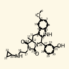 COc1ccc2[nH]c3c(c2c1)CC1(C)C(=O)N(CCNC2CC2)C(=O)N1C3c1cccc(O)c1